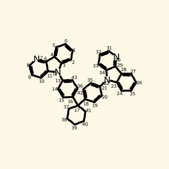 c1ccc2c(c1)c1ncccc1n2-c1ccc(C2(c3ccc(-n4c5ccccc5c5ncccc54)cc3)CCCCC2)cc1